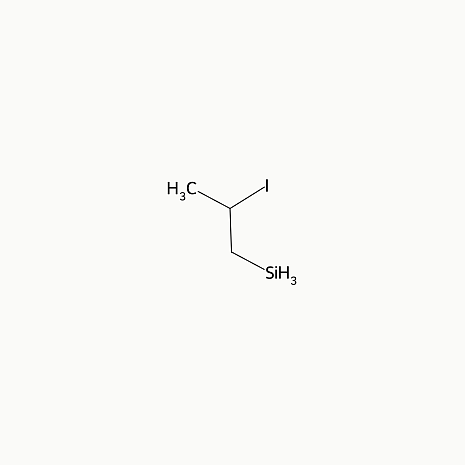 CC(I)C[SiH3]